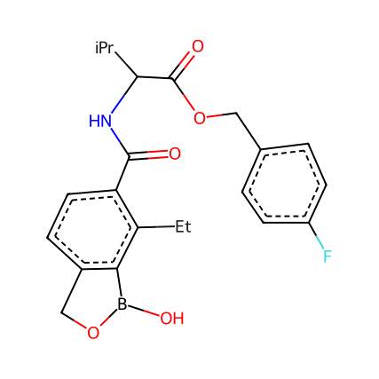 CCc1c(C(=O)NC(C(=O)OCc2ccc(F)cc2)C(C)C)ccc2c1B(O)OC2